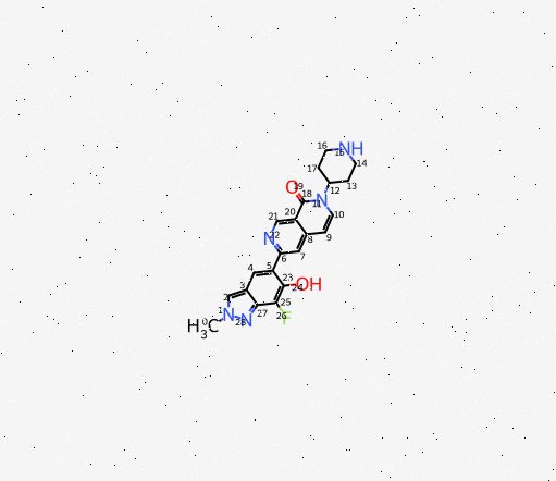 Cn1cc2cc(-c3cc4ccn(C5CCNCC5)c(=O)c4cn3)c(O)c(F)c2n1